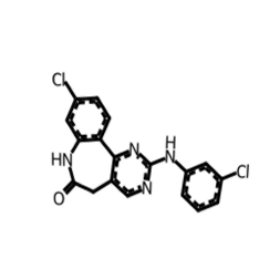 O=C1Cc2cnc(Nc3cccc(Cl)c3)nc2-c2ccc(Cl)cc2N1